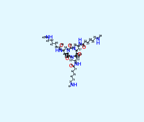 CNCCCCCCC(=O)NC1C[C@H]2C(=O)C3CC(NC(=O)CCCCCNC)CN3C(=O)N3CC(NC(=O)CCCCCNC)C[C@H]3C(=O)N2C1